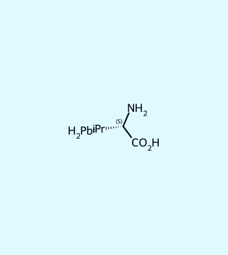 CC(C)[C@H](N)C(=O)O.[PbH2]